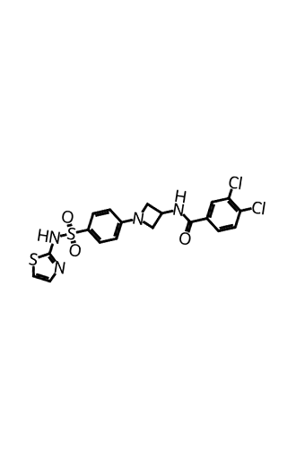 O=C(NC1CN(c2ccc(S(=O)(=O)Nc3nccs3)cc2)C1)c1ccc(Cl)c(Cl)c1